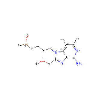 CCOCc1nc2c(N)nc(C)c(C)c2n1CCCC[S+](C)[O-]